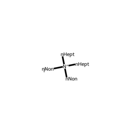 CCCCCCCCC[N+](CCCCCCC)(CCCCCCC)CCCCCCCCC.[I-]